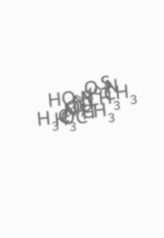 COc1cc([C@H](C(=O)N2C[C@H](O)C[C@H]2C2=CC(=O)[C@](C)(c3ccc(-c4scnc4C)cc3)N2)C(C)C)on1